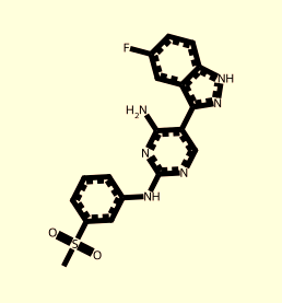 CS(=O)(=O)c1cccc(Nc2ncc(-c3n[nH]c4ccc(F)cc34)c(N)n2)c1